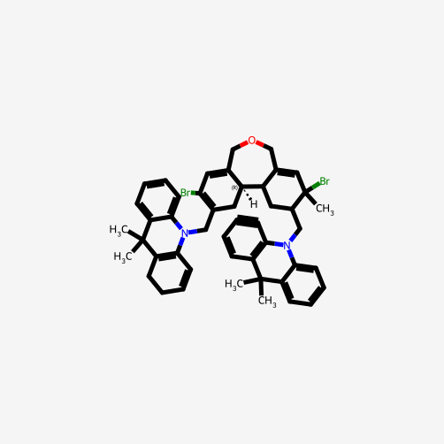 CC1(C)C2=C(C=CCC2)N(CC2=C(Br)C=C3COCC4=CC(C)(Br)C(CN5c6c#cccc6C(C)(C)c6ccccc65)CC4[C@H]3C2)c2ccccc21